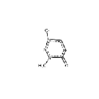 Cn1nc([O])ccc1=O